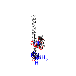 CCCCCCCCCCCCCCCCCC(=O)OCC(CCn1cnc2c(=O)[nH]c(N)nc21)COC(=O)[C@@H](NC(=O)OC(C)(C)C)C(C)C